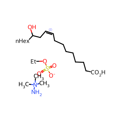 CCCCCCC(O)C/C=C\CCCCCCCC(=O)O.CCOS(=O)(=O)[O-].C[N+](C)(C)N